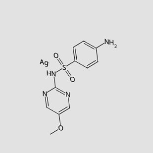 COc1cnc(NS(=O)(=O)c2ccc(N)cc2)nc1.[Ag]